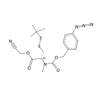 CN(C(=O)OCc1ccc(N=[N+]=[N-])cc1)[C@@H](CSSC(C)(C)C)C(=O)OCC#N